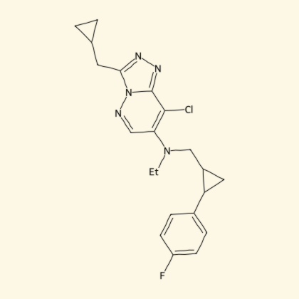 CCN(CC1CC1c1ccc(F)cc1)c1cnn2c(CC3CC3)nnc2c1Cl